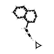 C1CC1.S=C=Nc1cccc2ccccc12